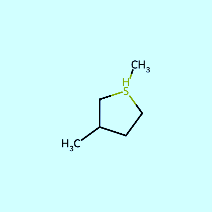 CC1CC[SH](C)C1